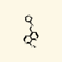 CC(C)(C)c1nccc2c(COC3CCOC3)ccnc12